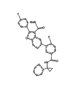 CNC(=O)c1c(-c2ccc(F)cc2)oc2ccc(-c3cc(C(=O)NC4(c5ccccc5)CC4)ccc3F)cc12